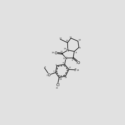 COc1cc(N2C(=O)C3CCCC(C)N3C2=O)c(F)cc1Cl